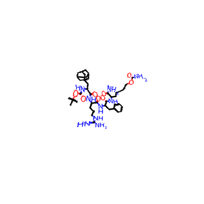 CC(C)(C)OC(=O)NC(CC12CC3CC(CC(C3)C1)C2)C(=O)NC(CCCNC(=N)N)C(=O)NC(Cc1ccccc1)C(=O)NC(CCCCOC(N)=O)C(N)=O